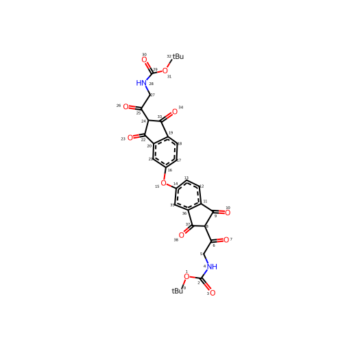 CC(C)(C)OC(=O)NCC(=O)C1C(=O)c2ccc(Oc3ccc4c(c3)C(=O)C(C(=O)CNC(=O)OC(C)(C)C)C4=O)cc2C1=O